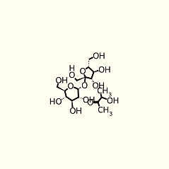 CC(=O)C(C)O.OC[C@H]1O[C@@](CO)(O[C@H]2O[C@H](CO)[C@@H](O)[C@H](O)[C@H]2O)[C@@H](O)[C@@H]1O